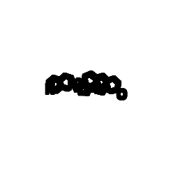 C[C@]12CC=C3C=C4CCC(=O)C[C@]45CC[C@]3(O5)[C@@H]1CC[C@@H]2N1CCc2ccncc2C1